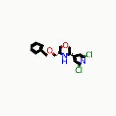 Clc1cc([C@@H]2COC[C@@H](COCc3ccccc3)N2)cc(Cl)n1